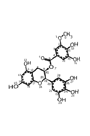 COc1cc(C(=O)O[C@@H]2Cc3c(O)cc(O)cc3O[C@@H]2c2cc(O)c(O)c(O)c2)cc(O)c1O